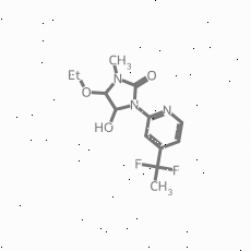 CCOC1C(O)N(c2cc(C(C)(F)F)ccn2)C(=O)N1C